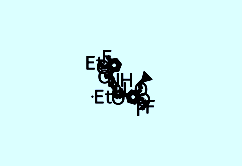 C[CH]c1oc(-c2ccc(OC(F)F)c(OCC3CC3)c2)nc1CNC(=O)c1cccc(F)c1OCC